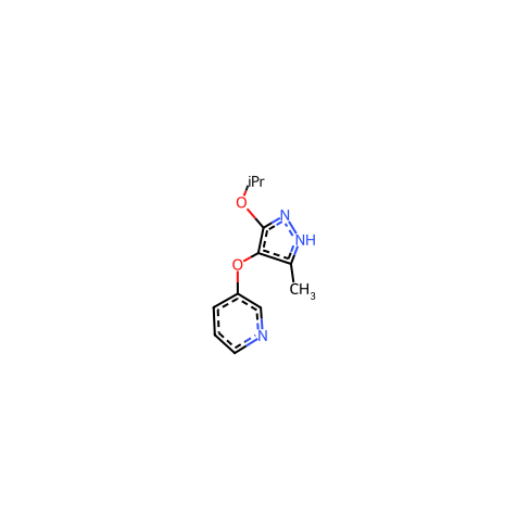 Cc1[nH]nc(OC(C)C)c1Oc1cccnc1